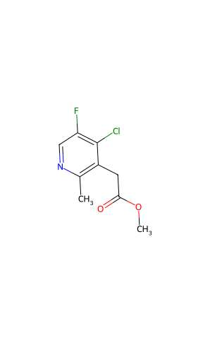 COC(=O)Cc1c(C)ncc(F)c1Cl